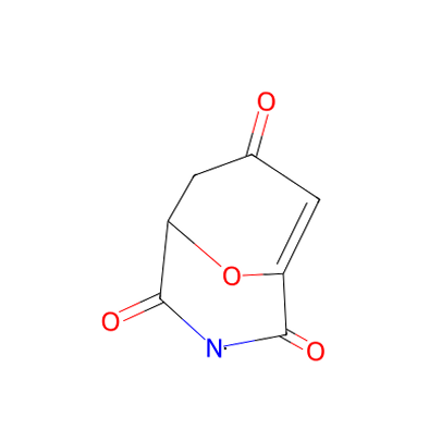 O=C1C=C2OC(C1)C(=O)[N]C2=O